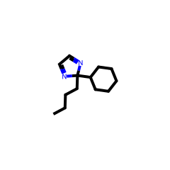 CCCCC1(C2CCCCC2)N=CC=N1